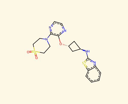 O=S1(=O)CCN(c2nccnc2O[C@H]2C[C@H](Nc3nc4ccccc4s3)C2)CC1